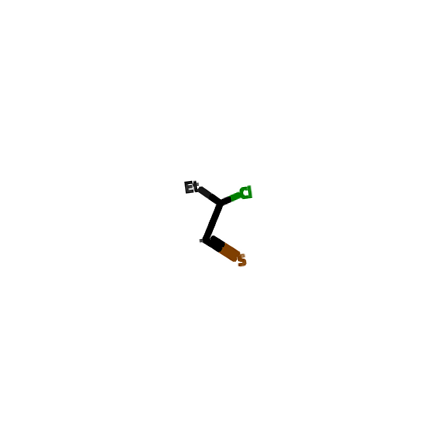 CCC(Cl)[C]=S